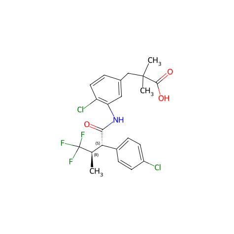 C[C@H]([C@H](C(=O)Nc1cc(CC(C)(C)C(=O)O)ccc1Cl)c1ccc(Cl)cc1)C(F)(F)F